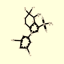 CS(=O)(=O)c1cn(-c2cc(F)cc(F)c2)c2c1C(O)C(F)(F)CC2